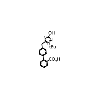 CC(C)(C)n1nc(O)nc1Cc1ccc(-c2ccccc2C(=O)O)cc1